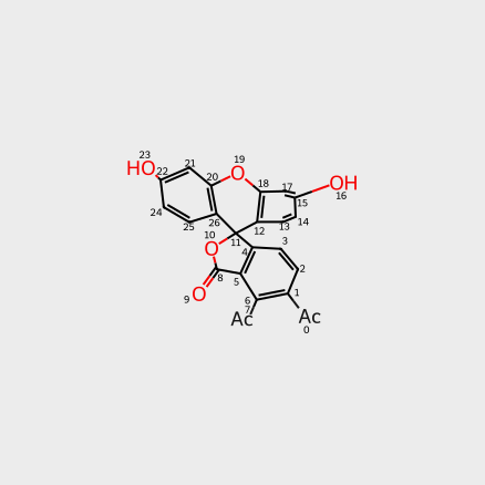 CC(=O)c1ccc2c(c1C(C)=O)C(=O)OC21c2ccc(O)cc2Oc2cc(O)ccc21